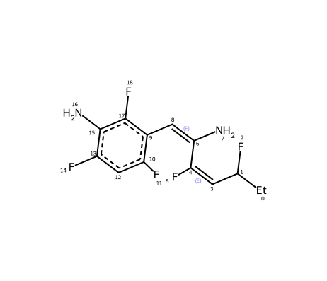 CCC(F)/C=C(F)\C(N)=C/c1c(F)cc(F)c(N)c1F